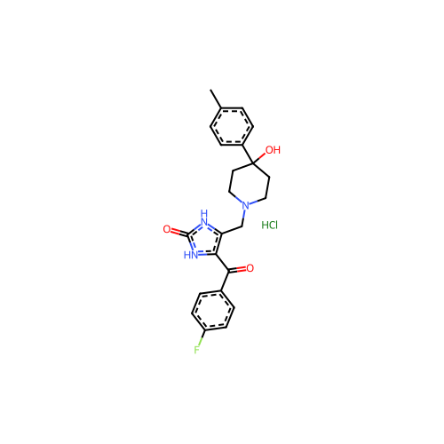 Cc1ccc(C2(O)CCN(Cc3[nH]c(=O)[nH]c3C(=O)c3ccc(F)cc3)CC2)cc1.Cl